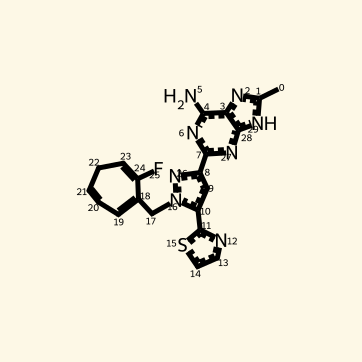 Cc1nc2c(N)nc(-c3cc(-c4nccs4)n(CC4=CC=CCC=C4F)n3)nc2[nH]1